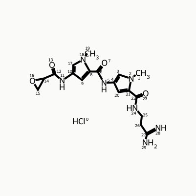 Cl.Cn1cc(NC(=O)c2cc(NC(=O)C3CO3)cn2C)cc1C(=O)NCCC(=N)N